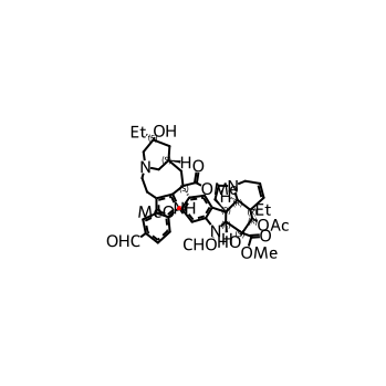 CC[C@]1(O)C[C@H]2CN(CCc3c([nH]c4ccc(C=O)cc34)[C@@](C(=O)OC)(c3cc4c(cc3OC)N(C=O)[C@H]3[C@@](O)(C(=O)OC)[C@H](OC(C)=O)[C@]5(CC)C=CCN6CC[C@]43[C@@H]65)C2)C1